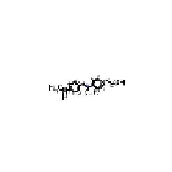 CNc1ccc(/C=C(\C)c2cc[n+](CCO)cc2)cc1